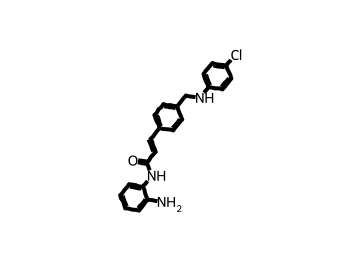 Nc1ccccc1NC(=O)/C=C/c1ccc(CNc2ccc(Cl)cc2)cc1